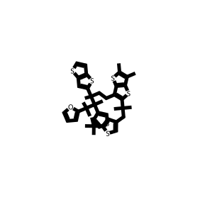 Cc1sc2c(CCC(C)(c3cc4sccc4s3)C(C)(c3ccsc3)C(C)(C)c3ccco3)c(C(C)(C)Cc3csc(C(C)(C)C)c3)sc2c1C